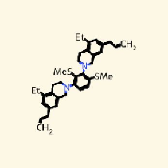 C=CCc1cc(CC)c2c(c1)CN(c1ccc(SC)c(N3CCc4c(CC)cc(CC=C)cc4C3)c1SC)CC2